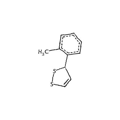 Cc1ccccc1C1C=CSS1